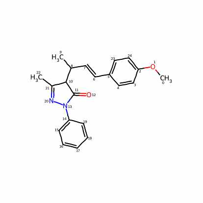 COc1ccc(/C=C/C(C)C2C(=O)N(c3ccccc3)N=C2C)cc1